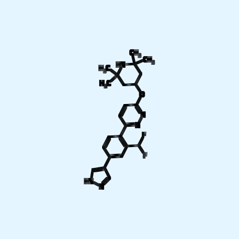 CC1(C)CC(Oc2ccc(-c3ccc(-c4cn[nH]c4)cc3C(F)F)nn2)CC(C)(C)N1